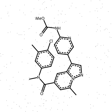 COC(=O)Nc1ccc(-c2cnn3c(C)cc(C(=O)N(C)c4ccc(Cl)c(C)c4)cc23)cn1